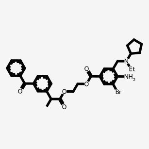 CCN(Cc1cc(C(=O)OCCOC(=O)C(C)c2cccc(C(=O)c3ccccc3)c2)cc(Br)c1N)C1CCCC1